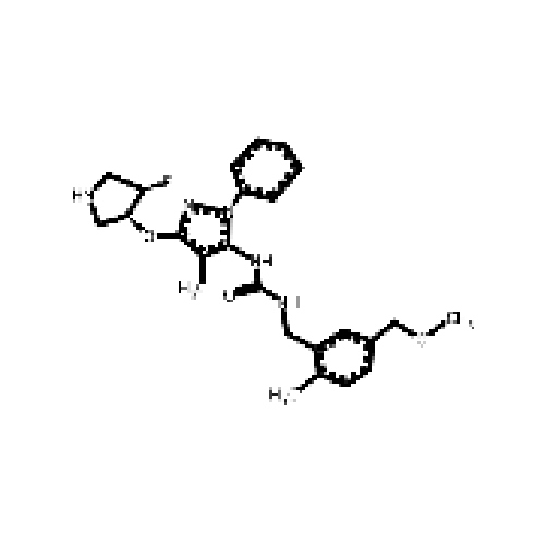 COCc1ccc(C)c(CNC(=O)Nc2c(C)c(O[C@H]3CNC[C@H]3F)nn2-c2ccccc2)c1